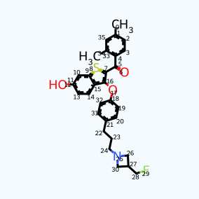 Cc1ccc(C(=O)c2sc3cc(O)ccc3c2Oc2ccc(CCCN3CC(CF)C3)cc2)c(C)c1